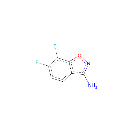 Nc1noc2c(F)c(F)ccc12